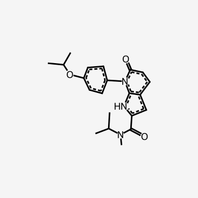 CC(C)Oc1ccc(-n2c(=O)ccc3cc(C(=O)N(C)C(C)C)[nH]c32)cc1